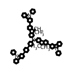 CC1(C)c2cc(-c3ccc4c(c3)c3ccccc3n4-c3ccccc3)ccc2-c2ccc(N(c3ccc(-c4ccc(-c5ccc6c7ccccc7n(-c7ccccc7)c6c5)cc4)cc3)c3ccc4c(c3)C(C)(C)c3cc(-c5ccc6c(c5)c5ccccc5n6-c5ccccc5)ccc3-4)cc21